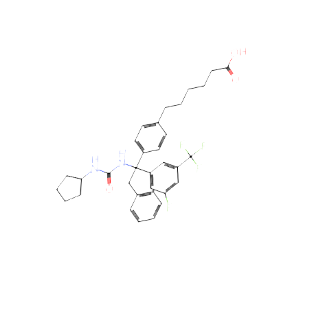 O=C(O)CCCCCc1ccc(C(Cc2ccccc2)(NC(=O)NC2CCCC2)c2cc(F)cc(C(F)(F)F)c2)cc1